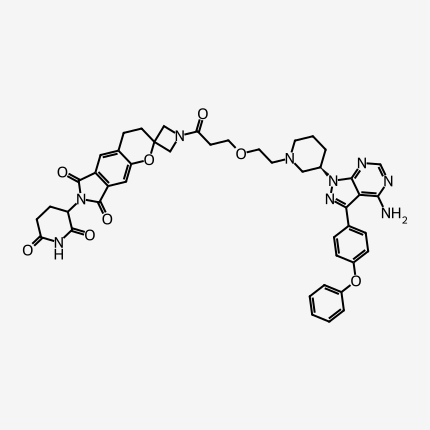 Nc1ncnc2c1c(-c1ccc(Oc3ccccc3)cc1)nn2[C@@H]1CCCN(CCOCCC(=O)N2CC3(CCc4cc5c(cc4O3)C(=O)N(C3CCC(=O)NC3=O)C5=O)C2)C1